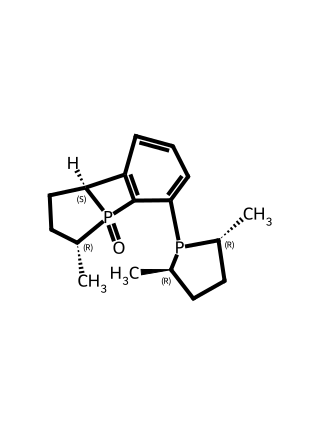 C[C@@H]1CC[C@@H](C)P1c1cccc2c1P1(=O)[C@H](C)CC[C@@H]21